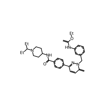 C=C(Nc1cccc(CN2N=C(c3ccc(C(=O)NC4CCN(C(CC)CC)CC4)cc3)C=CC2=C)c1)OCC